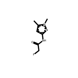 Cc1cc(NC(=O)CF)nn1C